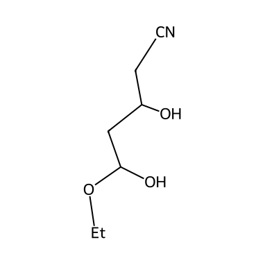 CCOC(O)CC(O)CC#N